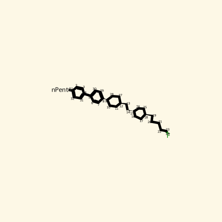 CCCCCc1ccc(-c2ccc([C@H]3CC[C@H](CC[C@H]4CC[C@H](CCCCCF)CC4)CC3)cc2)cc1